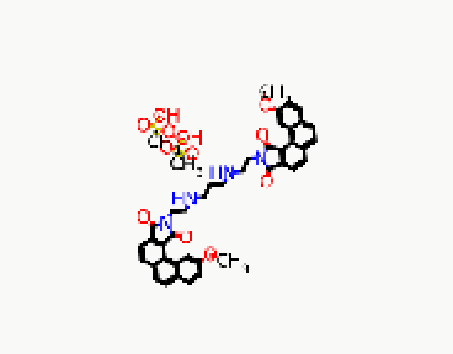 COc1ccc2ccc3ccc4c(c3c2c1)C(=O)N(CCNCCCNCCN1C(=O)c2ccc3ccc5ccc(OC)cc5c3c2C1=O)C4=O.CS(=O)(=O)O.CS(=O)(=O)O